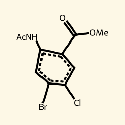 COC(=O)c1cc(Cl)c(Br)cc1NC(C)=O